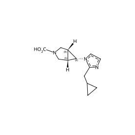 O=C(O)N1C[C@@H]2[C@H](C1)[C@@H]2n1ccnc1CC1CC1